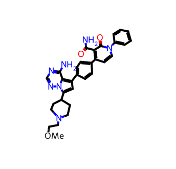 COCCN1CCC(c2cc(-c3ccc(-c4ccn(-c5ccccc5)c(=O)c4C(N)=O)cc3)c3c(N)ncnn23)CC1